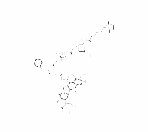 CC[C@@]1(O)C(=O)OCc2c1cc1n(c2=O)Cc2c-1nc1cc(F)c(C)c3c1c2[C@@H](NC(=O)CNC(=O)[C@H](Cc1ccccc1)NC(=O)CNC(=O)CNC(=O)CN(CCNC(=O)CCCCCN1C(=O)C=CC1=O)CC(=O)O)CC3